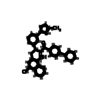 Cc1ccc(-c2cccc(C(Cc3cc(Cl)c4cccnc4c3O)NC(=O)c3ccc(-c4ccccc4)cc3)c2)s1